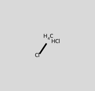 C.CCl.Cl